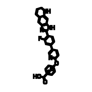 O=C(O)C12CCC(Oc3ccc(-c4ccc(-c5nc6cc7c(cc6[nH]5)NCC=C7)c(F)c4)cn3)(CC1)CC2